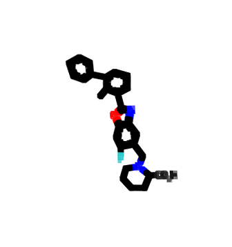 Cc1c(-c2ccccc2)cccc1-c1nc2cc(CN3CCCCC3C(=O)O)c(F)cc2o1